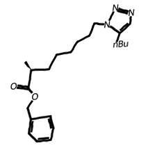 CCCCc1cnnn1CCCCCC[C@H](C)C(=O)OCc1ccccc1